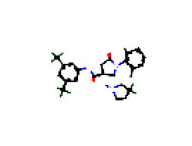 Cc1cccc(C)c1N1C[C@@](CN2CCC(F)(F)C2)(C(=O)Nc2cc(C(F)(F)F)cc(C(F)(F)F)c2)[C@H](C)C1=O